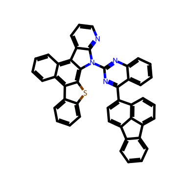 c1ccc2c(c1)-c1cccc3c(-c4nc(-n5c6ncccc6c6c7ccccc7c7c8ccccc8sc7c65)nc5ccccc45)ccc-2c13